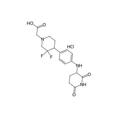 Cl.O=C(O)CN1CCC(c2ccc(NC3CCC(=O)NC3=O)cc2)C(F)(F)C1